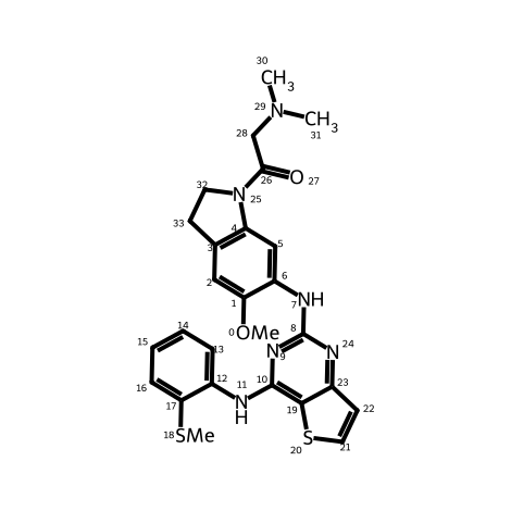 COc1cc2c(cc1Nc1nc(Nc3ccccc3SC)c3sccc3n1)N(C(=O)CN(C)C)CC2